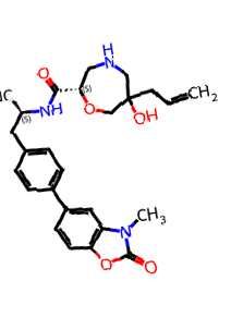 C=CCC1(O)CNC[C@@H](C(=O)N[C@H](C#N)Cc2ccc(-c3ccc4oc(=O)n(C)c4c3)cc2)OC1